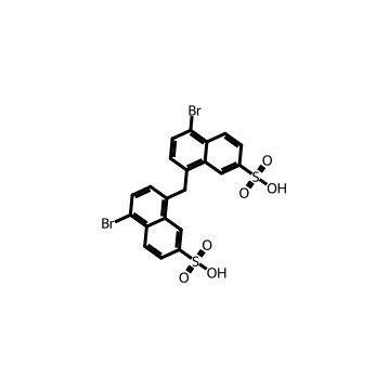 O=S(=O)(O)c1ccc2c(Br)ccc(Cc3ccc(Br)c4ccc(S(=O)(=O)O)cc34)c2c1